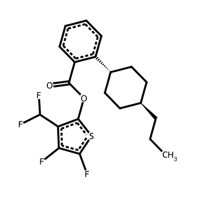 CCC[C@H]1CC[C@H](c2ccccc2C(=O)Oc2sc(F)c(F)c2C(F)F)CC1